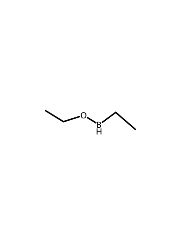 CCBOCC